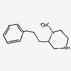 O=[C]N1CCNCC1CCc1ccccc1